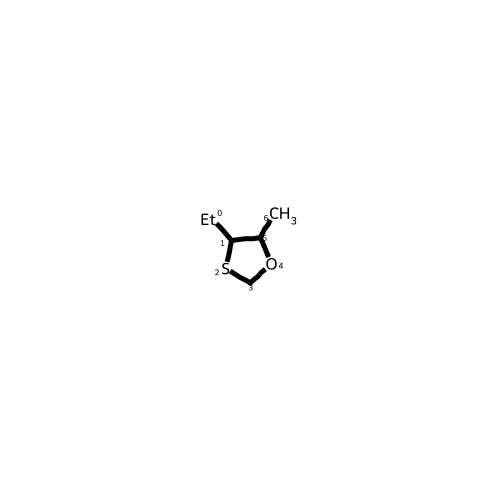 CCC1SCOC1C